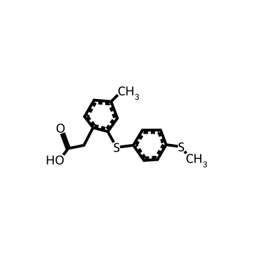 CSc1ccc(Sc2cc(C)ccc2CC(=O)O)cc1